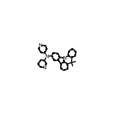 CC1(C)c2ccccc2-n2c3ccc(N(c4ccncc4)c4cccnc4)cc3c3cccc1c32